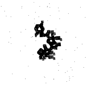 CC1(C)c2[nH]nc(NC(=O)C3(S(C)(C)C)CCC3)c2CN1C(=O)Nc1cc(F)ccc1F